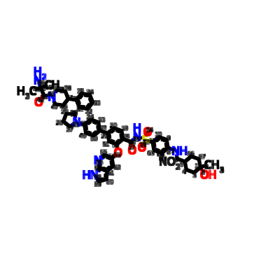 CC1(O)CCC(CNc2ccc(S(=O)(=O)NC(=O)c3ccc(-c4ccc(N5CCC[C@@H]5c5ccccc5C5CCN(C(=O)C(C)(C)N)CC5)cc4)cc3Oc3cnc4[nH]ccc4c3)cc2[N+](=O)[O-])CC1